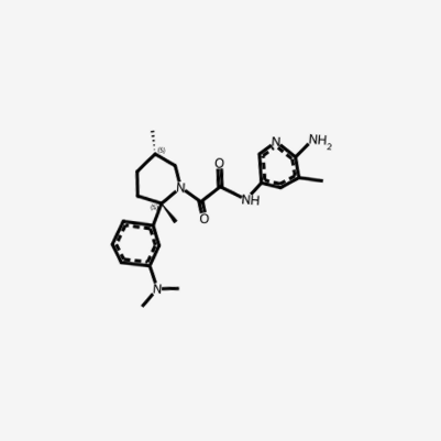 Cc1cc(NC(=O)C(=O)N2C[C@@H](C)CC[C@@]2(C)c2cccc(N(C)C)c2)cnc1N